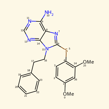 COc1ccc(Sc2nc3c(N)ncnc3n2CCc2ccccc2)c(OC)c1